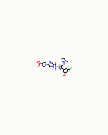 COc1cc(-c2nc(NC(=O)c3cnc(N4CCC(C(=O)O)CC4)cn3)sc2CN2CCC[C@H]2C)cc(C(F)(F)F)c1